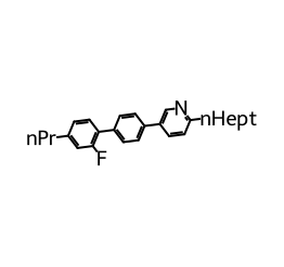 CCCCCCCc1ccc(-c2ccc(-c3ccc(CCC)cc3F)cc2)cn1